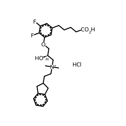 C[N+](C)(CCC1Cc2ccccc2C1)C[C@@H](O)COc1cc(CCCCC(=O)O)cc(F)c1F.Cl